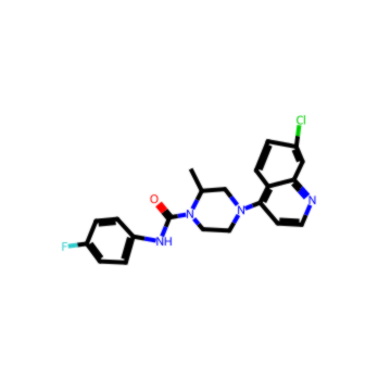 CC1CN(c2ccnc3cc(Cl)ccc23)CCN1C(=O)Nc1ccc(F)cc1